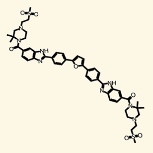 CC1(C)CN(CCS(C)(=O)=O)CCN1C(=O)c1ccc2nc(-c3ccc(-c4ccc(-c5ccc(-c6nc7ccc(C(=O)N8CCN(CCS(C)(=O)=O)CC8(C)C)cc7[nH]6)cc5)o4)cc3)[nH]c2c1